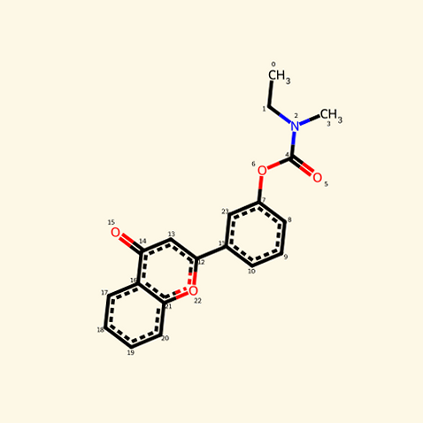 CCN(C)C(=O)Oc1cccc(-c2cc(=O)c3ccccc3o2)c1